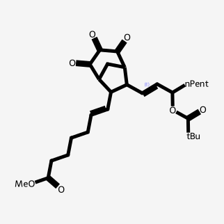 CCCCCC(/C=C/C1C2CC(C(=O)C(=O)C2=O)C1C=CCCCCC(=O)OC)OC(=O)C(C)(C)C